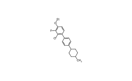 CCOc1ccc(-c2ccc(C3CCC(C)CC3)cc2)c(Cl)c1F